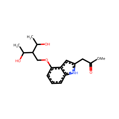 COC(=O)Cc1cc2c(OCC(C(C)O)C(C)O)cccc2[nH]1